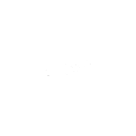 CCN(Cn1nnn(-c2c(F)cccc2F)c1=O)c1ccc(C(=O)O)cc1Oc1ccccc1